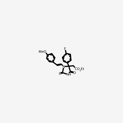 CCOC(=O)CC1(c2ccc(F)cc2)C(=O)NC(=S)N1/C=C/c1ccc(OC)cc1